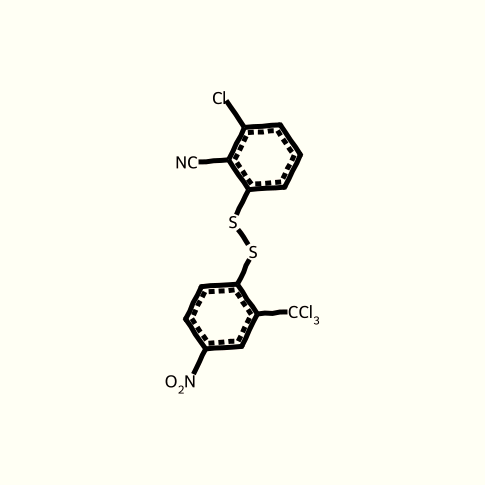 N#Cc1c(Cl)cccc1SSc1ccc([N+](=O)[O-])cc1C(Cl)(Cl)Cl